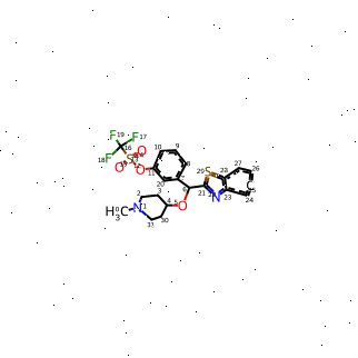 CN1CCC(OC(c2cccc(OS(=O)(=O)C(F)(F)F)c2)c2nc3ccccc3s2)CC1